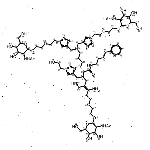 CC(=O)NC1C(OCCOCC/C(N)=C(/CN(Cc2cn(CCO)nn2)[C@H](CCCCN(Cc2cn(CCOCCOC3OC(CO)C(O)C(O)C3NC(C)=O)nn2)Cc2cn(CCOCCOC3OC(CO)C(O)C(O)C3NC(C)=O)nn2)C(=O)NCCSSc2ccccc2)N=N)OC(CO)C(O)C1O